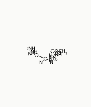 COC(=O)N[C@@H](C(=O)N1CCC[C@H]1c1ncc(-c2ccc(C#Cc3ccc(-c4cnc([C@@H]5CCCN5)[nH]4)cc3)c(C#N)c2)[nH]1)c1ccccc1